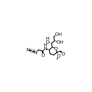 CO[C@]1(C=O)CC[C@@H](NC(=O)CN=[N+]=[N-])C([C@H](O)[C@H](O)CO)O1